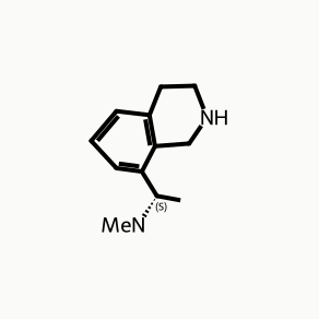 CN[C@@H](C)c1cccc2c1CNCC2